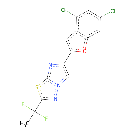 CC(F)(F)c1nn2cc(-c3cc4c(Cl)cc(Cl)cc4o3)nc2s1